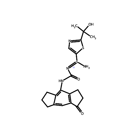 CC(C)(O)c1ncc(/S(N)=N/C(=O)Nc2c3c(cc4c2CCC4=O)CCC3)s1